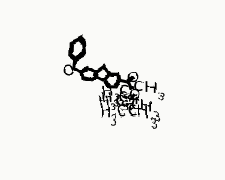 CC(C)(O[Si](C)(C)[Si](C)(C)C)C(=O)c1ccc2c(c1)Cc1cc(C(=O)c3ccccc3)ccc1-2